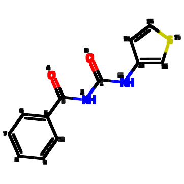 O=C(NC(=O)c1ccccc1)Nc1ccsc1